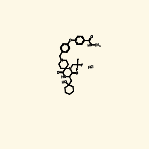 CNC(=O)c1ccc(Oc2ccc(CN3CCC4(CC3)C(=O)N[C@H](CC3(O)CCCCC3)C(=O)N4CC(F)(F)F)cc2)cc1.Cl